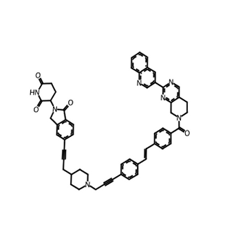 O=C1CCC(N2Cc3cc(C#CCC4CCN(CC#Cc5ccc(/C=C/c6ccc(C(=O)N7CCc8cnc(-c9cnc%10ccccc%10c9)nc8C7)cc6)cc5)CC4)ccc3C2=O)C(=O)N1